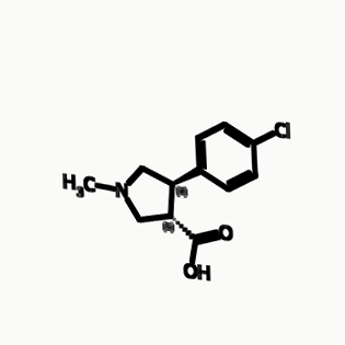 CN1C[C@@H](C(=O)O)[C@H](c2ccc(Cl)cc2)C1